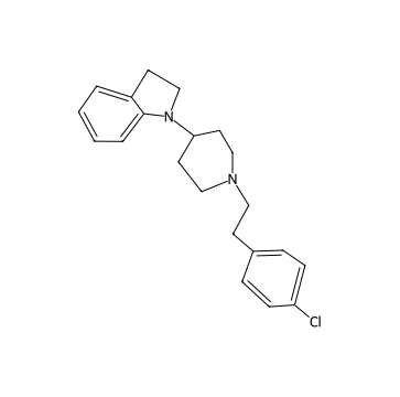 Clc1ccc(CCN2CCC(N3CCc4ccccc43)CC2)cc1